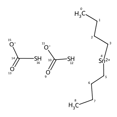 CCC[CH2][Sn+2][CH2]CCC.O=C([O-])S.O=C([O-])S